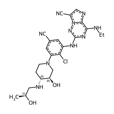 CCNc1nc(Nc2cc(C#N)cc(N3CC[C@@H](NC[C@H](C)O)[C@H](O)C3)c2Cl)nn2c(C#N)cnc12